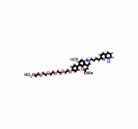 COC(=O)C[C@H](CN(C)CCCCc1ccc2c(n1)NCCC2)c1cccc(-c2ccc(OCCOCCOCCOCCOCCC(=O)O)cc2)c1.Cl